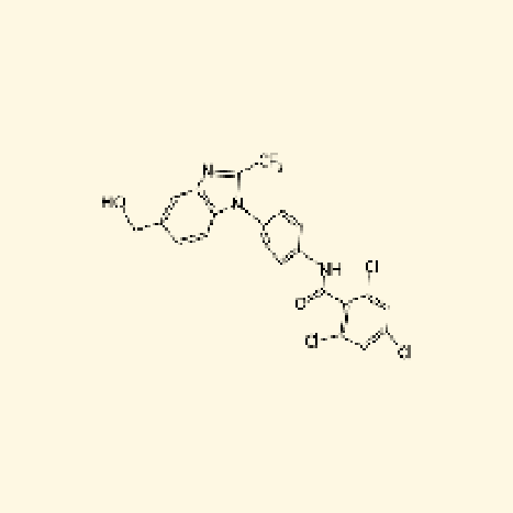 O=C(Nc1ccc(-n2c(C(F)(F)F)nc3cc(CO)ccc32)cc1)c1c(Cl)cc(Cl)cc1Cl